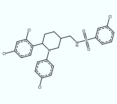 O=S(=O)(NCC1CCC(c2ccc(Cl)cc2Cl)N(c2ccc(Cl)cc2)C1)c1cccc(Cl)c1